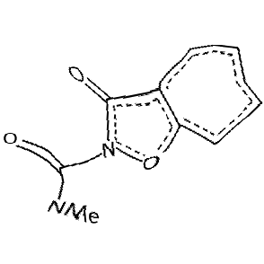 CNC(=O)n1oc2ccccc2c1=O